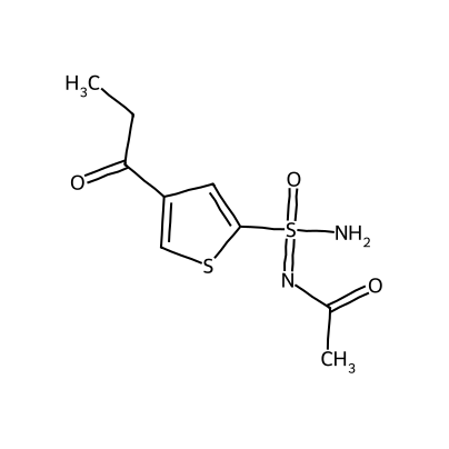 CCC(=O)c1csc(S(N)(=O)=NC(C)=O)c1